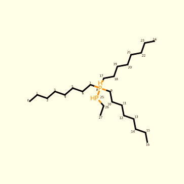 CCCCCCCC[PH](CCCCCCCC)(CCCCCCCC)PCC